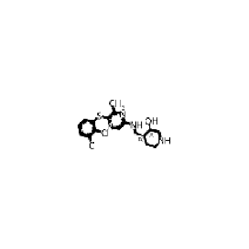 Cc1nc(NC[C@@H]2CCNC[C@@H]2O)cnc1Sc1cccc(Cl)c1Cl